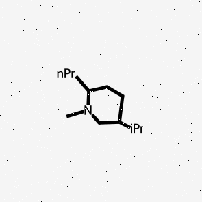 CCCC1CCC(C(C)C)CN1C